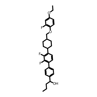 CCCC(O)c1ccc(-c2ccc(C3CCC(COc4ccc(OCC)cc4F)CC3)c(F)c2F)cc1